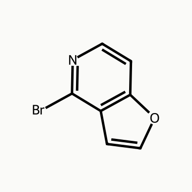 Brc1nccc2occc12